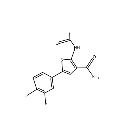 CC(=O)Nc1sc(-c2ccc(F)c(F)c2)cc1C(N)=O